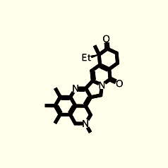 CC[C@@]1(C)C(=O)CCc2c1cc1n(c2=O)Cc2c-1nc1c(C)c(C)c(C)c3c1c2CN(C)C3